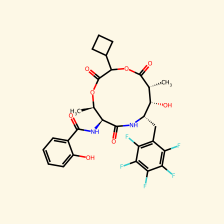 C[C@H]1OC(=O)C(C2CCC2)OC(=O)[C@H](C)[C@H](O)[C@H](Cc2c(F)c(F)c(F)c(F)c2F)NC(=O)[C@H]1NC(=O)c1ccccc1O